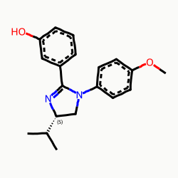 COc1ccc(N2C[C@H](C(C)C)N=C2c2cccc(O)c2)cc1